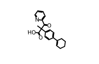 CC(C(=O)O)(C(=O)c1ccccn1)c1ccc(C2=CCCCC2)cc1